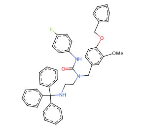 COc1cc(CN(CCNC(c2ccccc2)(c2ccccc2)c2ccccc2)C(=O)Nc2ccc(F)cc2)ccc1OCc1ccccc1